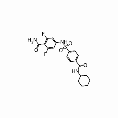 NC(=O)c1c(F)cc(NS(=O)(=O)c2ccc(C(=O)NC3CCCCC3)cc2)cc1F